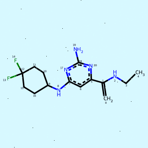 C=C(NCC)c1cc(NC2CCC(F)(F)CC2)nc(N)n1